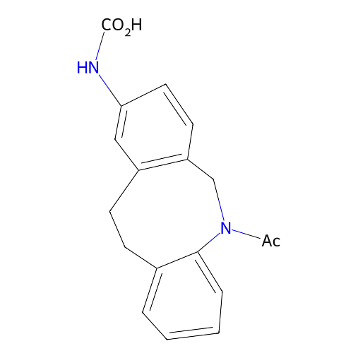 CC(=O)N1Cc2ccc(NC(=O)O)cc2CCc2ccccc21